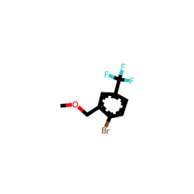 COCc1cc(C(F)(F)F)ccc1Br